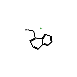 [Br-].[Zn+][CH2]c1cccc2ccccc12